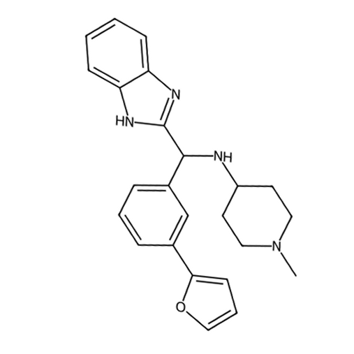 CN1CCC(NC(c2cccc(-c3ccco3)c2)c2nc3ccccc3[nH]2)CC1